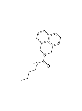 CCCCNC(=O)N1Cc2cccc3cccc(c23)C1